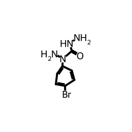 NNC(=O)N(N)c1ccc(Br)cc1